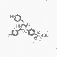 CC(C)(C)NS(=O)(=O)c1ccc(NC(=O)[C@H](CC2CCNCC2)NC(=O)c2ccc(F)cn2)cc1